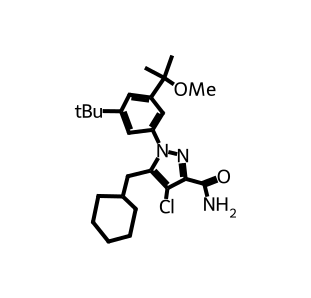 COC(C)(C)c1cc(-n2nc(C(N)=O)c(Cl)c2CC2CCCCC2)cc(C(C)(C)C)c1